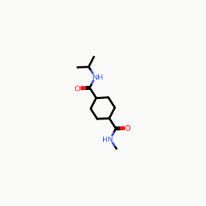 CNC(=O)C1CCC(C(=O)NC(C)C)CC1